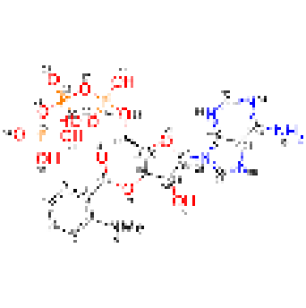 CNc1ccccc1C(=O)OC1[C@@H](COP(=O)(O)OP(=O)(O)OP(=O)(O)O)O[C@@H](n2cnc3c(N)ncnc32)[C@H]1O